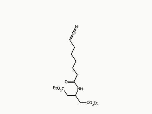 CCOC(=O)CC(CC(=O)OCC)NC(=O)CCCCCN=[N+]=[N-]